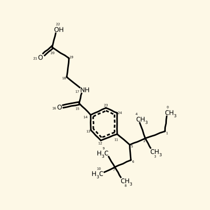 CCC(C)(C)C(CC(C)(C)C)c1ccc(C(=O)NCCC(=O)O)cc1